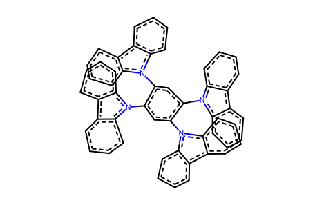 c1ccc2c(c1)c1ccccc1n2-c1cc(-n2c3ccccc3c3ccccc32)c(-n2c3ccccc3c3ccccc32)cc1-n1c2ccccc2c2ccccc21